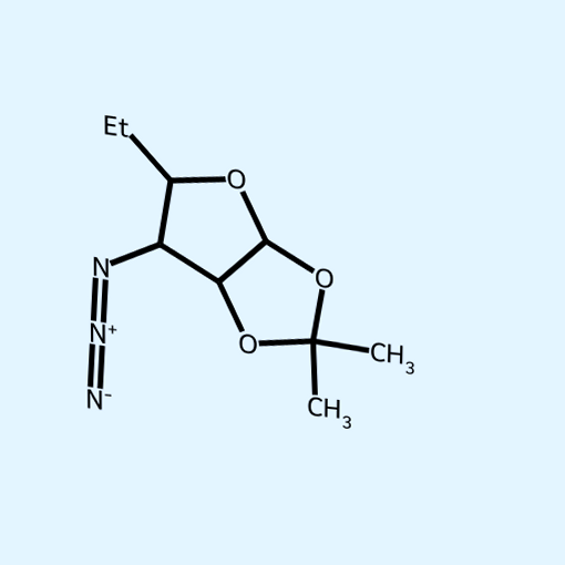 CCC1OC2OC(C)(C)OC2C1N=[N+]=[N-]